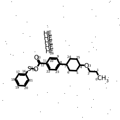 CCCOC1CCC(c2ccc(C(=O)OSc3ccccc3)cc2)CC1.F.F.F.F.F